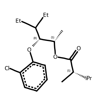 CCC(CC)[C@@H](Oc1ccccc1Cl)[C@H](C)OC(=O)[C@@H](C)C(C)C